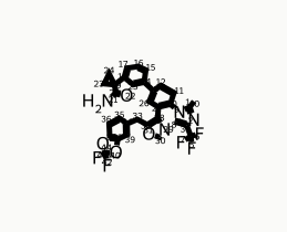 Cc1nc(C(F)(F)F)cn1-c1ccc(-c2cccc(C3(C(N)=O)CC3)c2)cc1-c1ncoc1Cc1ccc2c(c1)OC(F)(F)O2